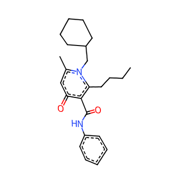 CCCCc1c(C(=O)Nc2ccccc2)c(=O)cc(C)n1CC1CCCCC1